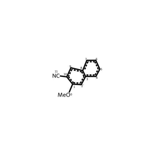 COc1[c]c2ccccc2cc1C#N